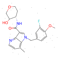 COc1ccc(Cn2cc(C(=O)N[C@H]3CCOCC3O)c3nccc(C)c32)cc1F